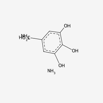 N.N.O=C(O)c1cc(O)c(O)c(O)c1